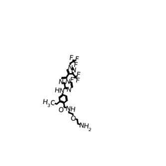 CCc1cc(Nc2nccn3c(-c4cn(CC(F)(F)F)nc4C(F)(F)F)cnc23)ccc1C(=O)NCCOCCN